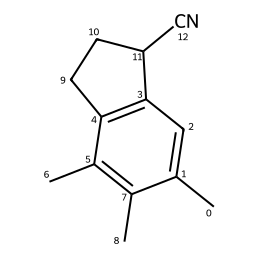 Cc1cc2c(c(C)c1C)CCC2C#N